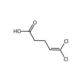 O=C(O)CCC=C(Cl)Cl